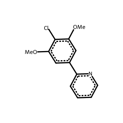 COc1cc(-c2ccccn2)cc(OC)c1Cl